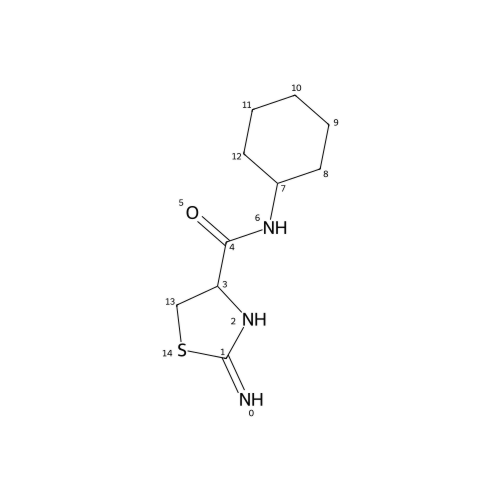 N=C1NC(C(=O)NC2CCCCC2)CS1